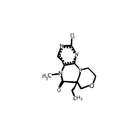 CCC12COCCN1c1nc(Cl)ncc1N(C)C2=O